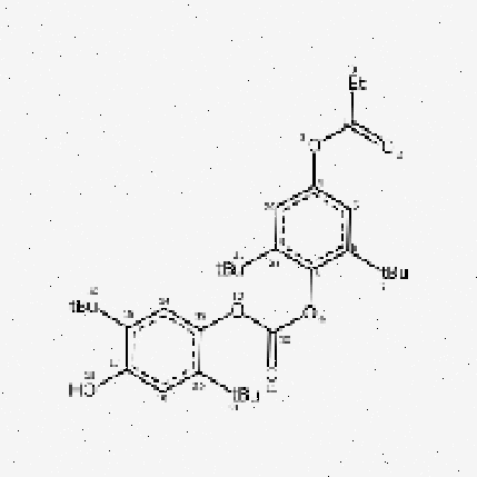 CCC(=O)Oc1cc(C(C)(C)C)c(OC(=O)Oc2cc(C(C)(C)C)c(O)cc2C(C)(C)C)c(C(C)(C)C)c1